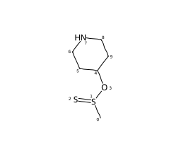 CS(=S)OC1CCNCC1